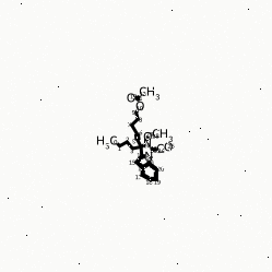 CCCCC1(C#CCCCOC(C)=O)c2cc3ccccc3n2C(=C=O)N1OC